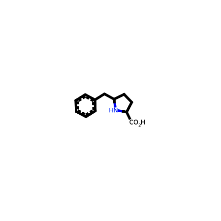 O=C(O)C1CCC(Cc2ccccc2)N1